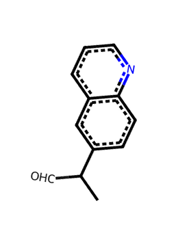 CC(C=O)c1ccc2ncccc2c1